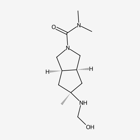 CN(C)C(=O)N1C[C@@H]2C[C@](C)(NCO)C[C@@H]2C1